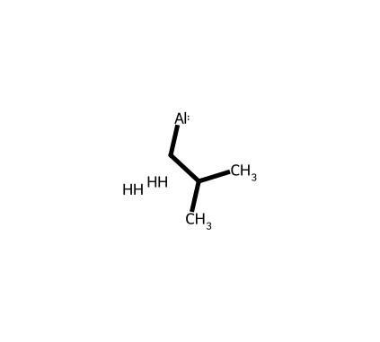 CC(C)[CH2][Al].[HH].[HH]